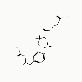 COC(=O)CCNC(=O)[C@@H]1O[P@](=O)(Oc2ccc(CC(NC(=O)OC(C)(C)C)C(=O)O)cc2)OCC1(C)C